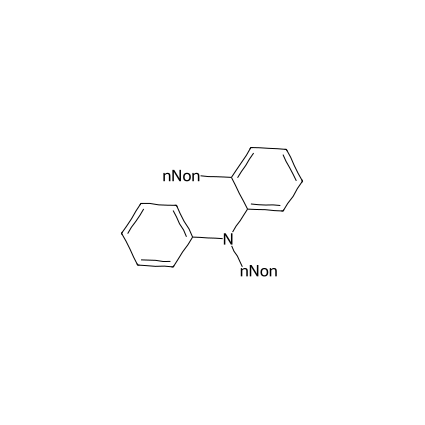 CCCCCCCCCc1ccccc1N(CCCCCCCCC)c1ccccc1